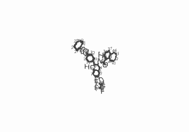 O=C(NC(Cc1cccc(OC(F)(F)C(F)F)c1)C(O)c1ccc(OCc2ccccc2)cc1)c1cccc2c1C=CCCC2